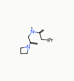 C=C(CC(C)C)N(C)CC(=C)N1CCC1